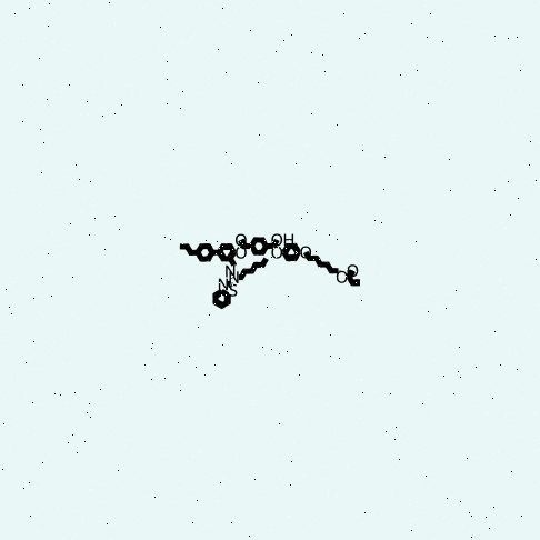 C=CC(=O)OCCCCCCOc1ccc(OC(O)C2CCC(C(=O)Oc3ccc(C4CCC(CCC)CC4)cc3/C=N/N(CCCCCC)c3nc4ccccc4s3)CC2)cc1